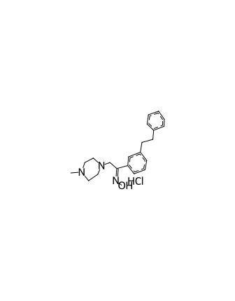 CN1CCN(CC(=NO)c2cccc(CCc3ccccc3)c2)CC1.Cl